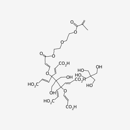 C=C(C)C(=O)OCCOCCOC(=O)C=COC(C=CC(=O)O)(C=CC(=O)O)C(CO)(CO)C(C=CC(=O)O)(C=CC(=O)O)OC=CC(=O)O.OCC(CO)(CO)CO